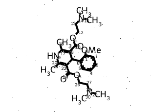 COc1ccccc1C1C(C(=O)OCCN(C)C)=C(C)NC(C)=C1C(=O)OCCN(C)C